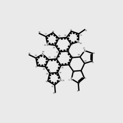 CC1=CC2C(S1)c1c(c3c4sc(C)cc4c4cc(C)sc4c3c3c4sc(C)cc4c4cc(C)sc4c13)C1SC=CC12